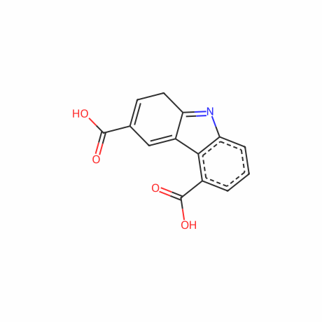 O=C(O)C1=CCC2=Nc3cccc(C(=O)O)c3C2=C1